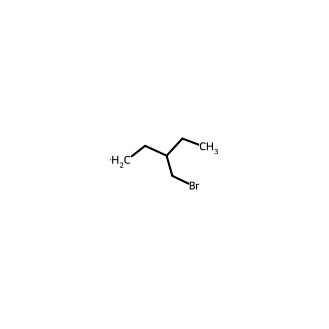 [CH2]CC(CC)CBr